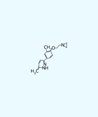 C=C1C=CC(c2ccc(OCCN3CC3)c(C)c2)=NN1